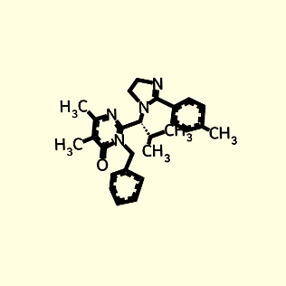 Cc1ccc(C2=NCCN2[C@@H](c2nc(C)c(C)c(=O)n2Cc2ccccc2)C(C)C)cc1